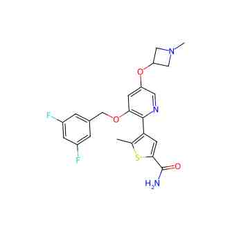 Cc1sc(C(N)=O)cc1-c1ncc(OC2CN(C)C2)cc1OCc1cc(F)cc(F)c1